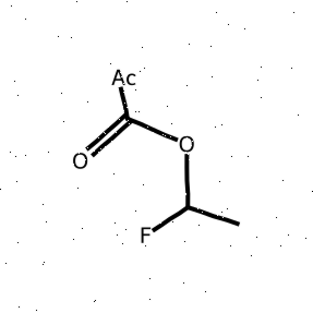 CC(=O)C(=O)OC(C)F